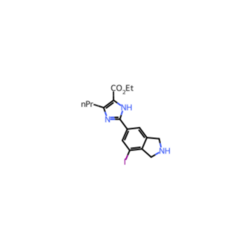 CCCc1nc(-c2cc(I)c3c(c2)CNC3)[nH]c1C(=O)OCC